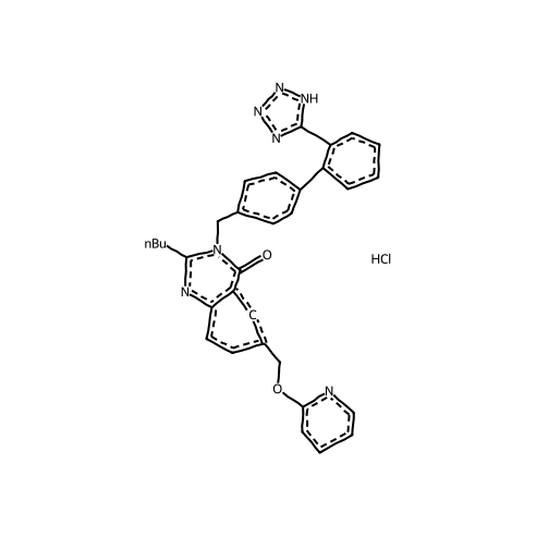 CCCCc1nc2ccc(COc3ccccn3)cc2c(=O)n1Cc1ccc(-c2ccccc2-c2nnn[nH]2)cc1.Cl